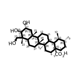 C[C@@H]1CC[C@]2(C(=O)O)CC[C@]3(C)C(CCC4[C@@]5(C)C[C@@H](O)[C@H](O)[C@@](C)(CO)C5CC[C@]43C)C2[C@H]1C